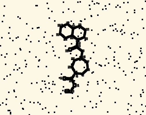 CC(C)(C)OC(=O)N1CCCN(CC(=O)N2CCCC3CCCCC32)CC1